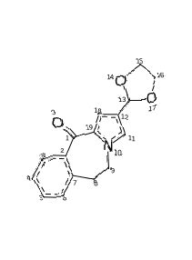 O=C1c2ccccc2CCn2cc(C3OCCO3)cc21